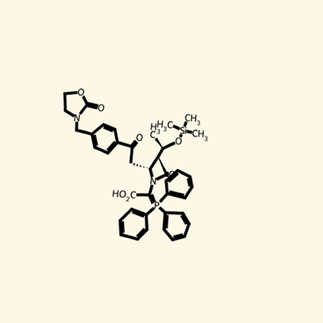 C[C@@H](O[Si](C)(C)C)[C@H]1C(=O)N(C(C(=O)O)=P(c2ccccc2)(c2ccccc2)c2ccccc2)[C@@H]1CC(=O)c1ccc(CN2CCOC2=O)cc1